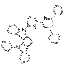 C1=C(c2cccc(-n3c4ccccc4c4c3ccc3c5ccccc5n(-c5ccccc5)c34)n2)N=C(c2ccccc2)CC1c1ccccc1